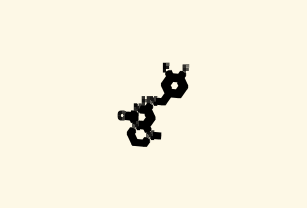 CN1CCCn2c1cc(NCc1ccc(F)c(F)c1)nc2=O